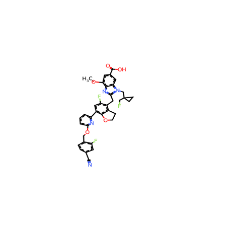 COc1cc(C(=O)O)cc2c1nc(Cc1c(F)cc(-c3cccc(OCc4ccc(C#N)cc4F)n3)c3c1CCO3)n2CC1(CF)CC1